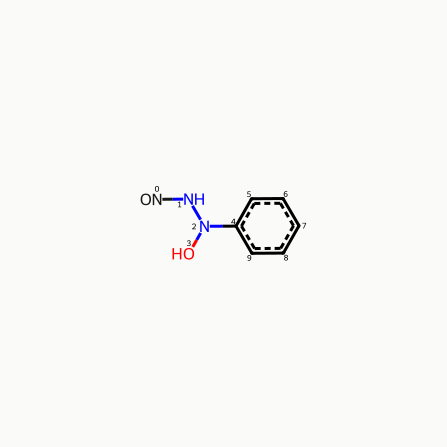 O=NNN(O)c1ccccc1